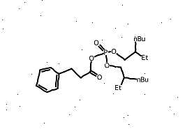 CCCCC(CC)COP(=O)(OCC(CC)CCCC)OC(=O)CCc1ccccc1